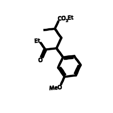 CCOC(=O)C(C)CC(C(=O)CC)c1cccc(OC)c1